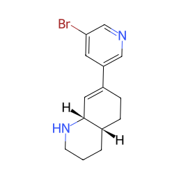 Brc1cncc(C2=C[C@H]3NCCC[C@H]3CC2)c1